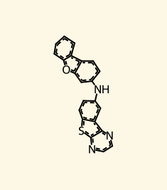 c1ccc2c(c1)oc1cc(Nc3ccc4sc5nccnc5c4c3)ccc12